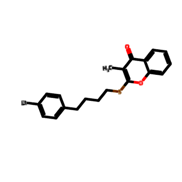 CCc1ccc(CCCCSc2oc3ccccc3c(=O)c2C)cc1